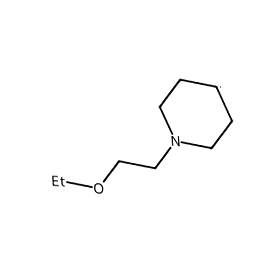 CCOCCN1CC[CH]CC1